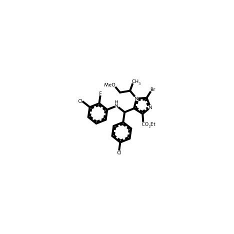 CCOC(=O)c1nc(Br)n(C(C)COC)c1C(Nc1cccc(Cl)c1F)c1ccc(Cl)cc1